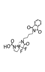 O=C1c2ccccc2C(=O)N1CCCCN(C[C@@H]1CCCN1C(=O)O)C(=O)C(F)(F)F